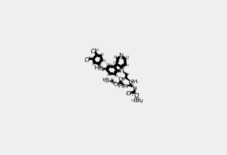 CC(C)(C)OC(=O)/N=C(/NCCn1c2ccncc2c2cc(Nc3ccc(Cl)c(Cl)c3)ccc21)NC(=O)OC(C)(C)C